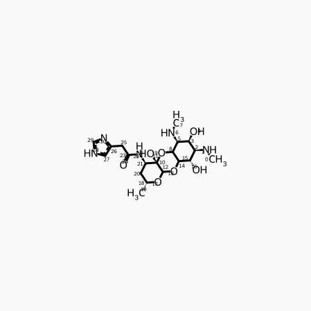 CN[C@@H]1[C@H](O)[C@H](NC)C2O[C@]3(O)C(OC2[C@H]1O)O[C@H](C)C[C@H]3NC(=O)Cc1c[nH]cn1